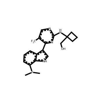 CP(C)c1cccc2c(-c3nc(NC4(CO)CCC4)ncc3C(F)(F)F)c[nH]c12